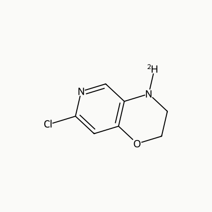 [2H]N1CCOc2cc(Cl)ncc21